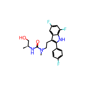 C[C@@H](CO)NC(=O)N(C)CCc1c(-c2ccc(F)cc2)[nH]c2c(F)cc(F)cc12